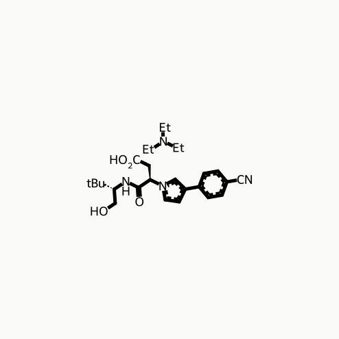 CC(C)(C)[C@@H](CO)NC(=O)[C@@H](CC(=O)O)n1ccc(-c2ccc(C#N)cc2)c1.CCN(CC)CC